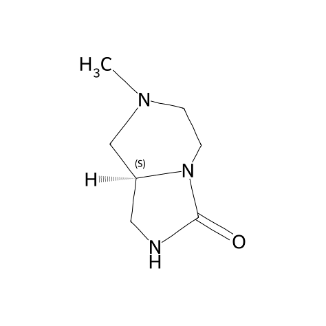 CN1CCN2C(=O)NC[C@H]2C1